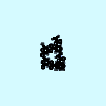 C=C(C)C(=O)Oc1ccc(/C=C(\C)C(=O)OC23CC4CC(C2)CC(C(=O)Oc2cc(C)oc(=O)c2)(C4)C3)cc1C(=O)Oc1cc(C)oc(=O)c1